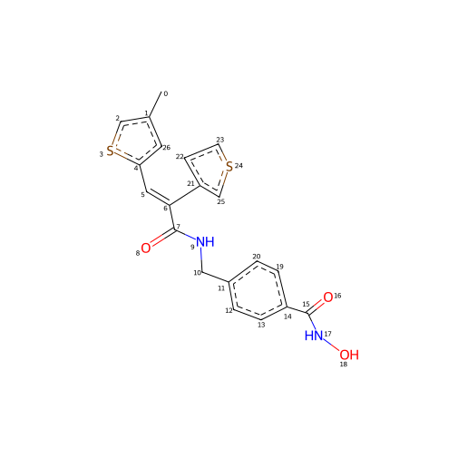 Cc1csc(C=C(C(=O)NCc2ccc(C(=O)NO)cc2)c2ccsc2)c1